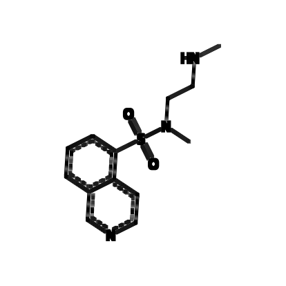 CNCCN(C)S(=O)(=O)c1cccc2cnccc12